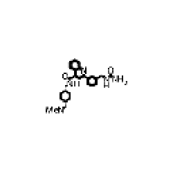 CNC[C@H]1CC[C@H](CNC(=O)c2cc(-c3cccc(CNC(N)=O)c3)nc3ccccc23)CC1